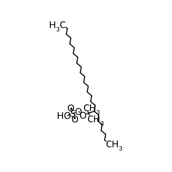 CCCCCCCCCCCCCCCCCCC(CCCCCCC)C(C)(C)OOS(=O)(=O)O